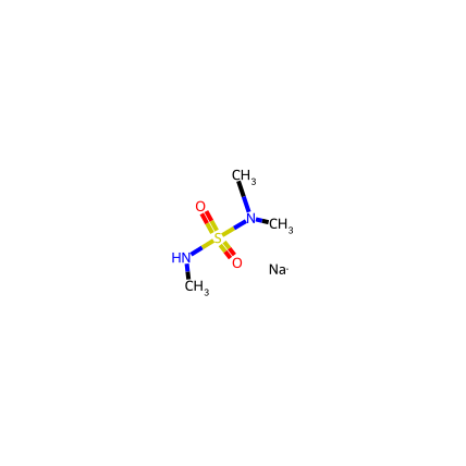 CNS(=O)(=O)N(C)C.[Na]